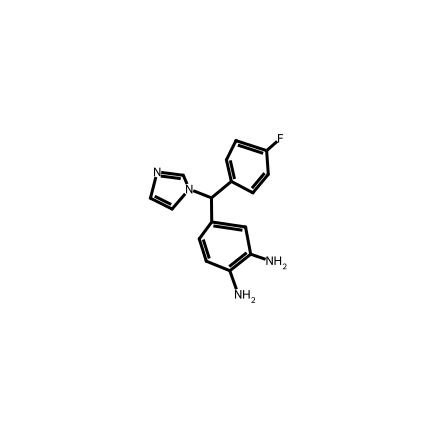 Nc1ccc(C(c2ccc(F)cc2)n2ccnc2)cc1N